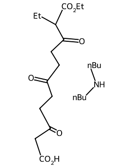 CCCCNCCCC.CCOC(=O)C(CC)C(=O)CCC(=O)CCC(=O)CC(=O)O